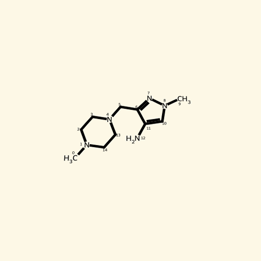 CN1CCN(Cc2nn(C)cc2N)CC1